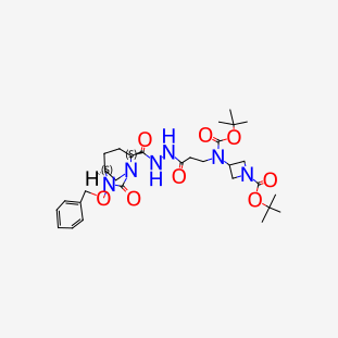 CC(C)(C)OC(=O)N1CC(N(CCC(=O)NNC(=O)[C@@H]2CC[C@H]3CN2C(=O)N3OCc2ccccc2)C(=O)OC(C)(C)C)C1